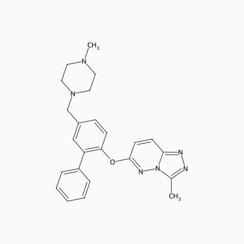 Cc1nnc2ccc(Oc3ccc(CN4CCN(C)CC4)cc3-c3ccccc3)nn12